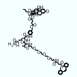 CCCC1O[C@@H]2C[C@H]3[C@@H]4CCC5=CC(=O)C=C[C@]5(C)[C@H]4[C@@H](O)C[C@]3(C)[C@]2(C(=O)COC(=O)CCC(=O)OCc2ccc(NC(=O)[C@H](CCCNC(N)=O)NC(=O)[C@@H](NC(=O)CCOCCOCCOCCOCCNC(=O)CCC(=O)N3Cc4ccccc4C#Cc4ccccc43)C(C)C)cc2)O1